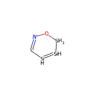 C1=NO[SiH2][SiH]=[SiH]1